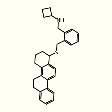 c1ccc(CSC2CCCc3c2ccc2c3CCc3ccccc3-2)c(CNC2CCC2)c1